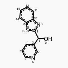 OC(c1cccnc1)c1nc2ccccc2s1